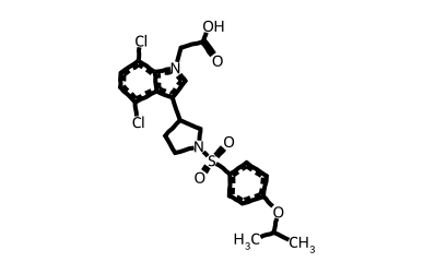 CC(C)Oc1ccc(S(=O)(=O)N2CCC(c3cn(CC(=O)O)c4c(Cl)ccc(Cl)c34)C2)cc1